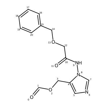 O=COCc1cncn1NC(=O)COCc1ccccc1